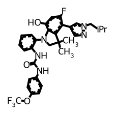 CC(C)Cn1cc(-c2c(F)cc(O)c3c2C(C)(C)CN3c2ccccc2NC(=O)Nc2ccc(OC(F)(F)F)cc2)cn1